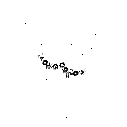 O=C(Cc1ccc(N2CC(F)(F)C2)cc1)Nc1ccc([C@H]2CCC[C@H](c3ccc(NC(=O)Cc4ccc(N5CC(F)(F)C5)cc4)nn3)C2)nn1